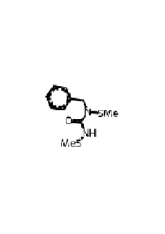 CSNC(=O)N(Cc1ccccc1)SC